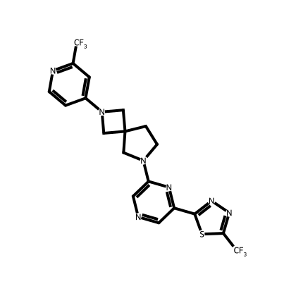 FC(F)(F)c1cc(N2CC3(CCN(c4cncc(-c5nnc(C(F)(F)F)s5)n4)C3)C2)ccn1